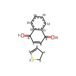 C1=CSCC1.O=C1C=CC(=O)c2ccccc21